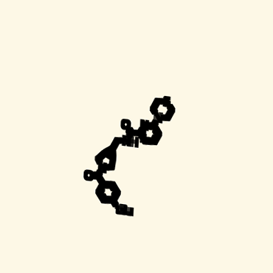 CC(C)(C)c1ccc(C(=O)N2CC3C(CNC(=O)c4[c]ccc(N5CCSCC5)n4)C3C2)cc1